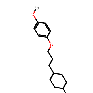 CCCCCC1CCC(CCCOc2ccc(OCC)cc2)CC1